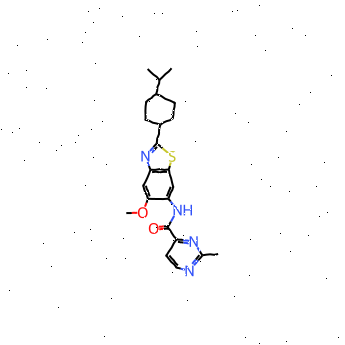 COc1cc2nc(C3CCC(C(C)C)CC3)sc2cc1NC(=O)c1ccnc(C)n1